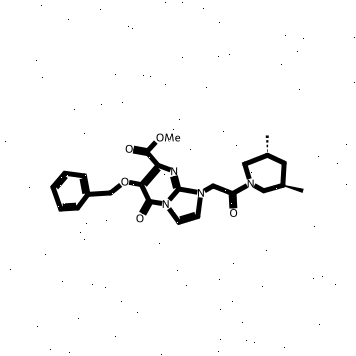 COC(=O)c1nc2n(CC(=O)N3C[C@H](C)C[C@@H](C)C3)ccn2c(=O)c1OCc1ccccc1